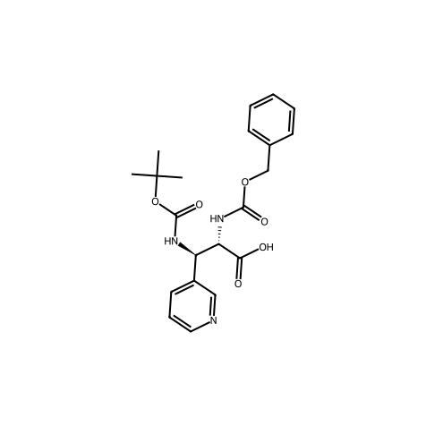 CC(C)(C)OC(=O)N[C@H](c1cccnc1)[C@H](NC(=O)OCc1ccccc1)C(=O)O